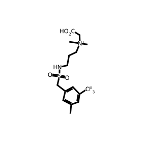 Cc1cc(CS(=O)(=O)NCCC[N+](C)(C)CC(=O)O)cc(C(F)(F)F)c1